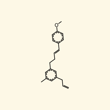 C=CCc1cc(C)cc(CCC=Cc2ccc(OC)cc2)c1